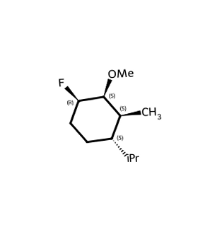 CO[C@H]1[C@@H](C)[C@H](C(C)C)CC[C@H]1F